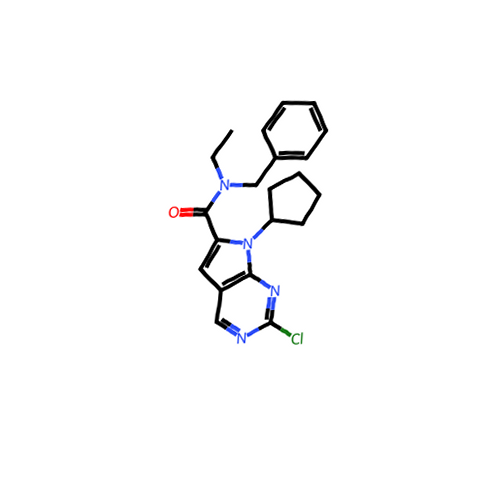 CCN(Cc1ccccc1)C(=O)c1cc2cnc(Cl)nc2n1C1CCCC1